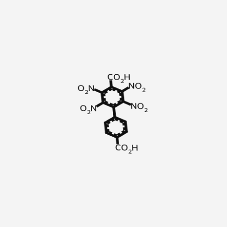 O=C(O)c1ccc(-c2c([N+](=O)[O-])c([N+](=O)[O-])c(C(=O)O)c([N+](=O)[O-])c2[N+](=O)[O-])cc1